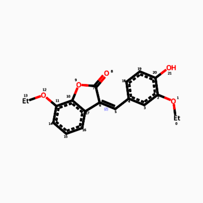 CCOc1cc(/C=C2\C(=O)Oc3c(OCC)cccc32)ccc1O